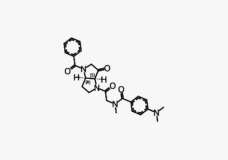 CN(CC(=O)N1CC[C@@H]2[C@H]1C(=O)CN2C(=O)c1ccccc1)C(=O)c1ccc(N(C)C)cc1